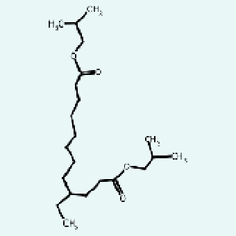 CCC(CCCCCCCC(=O)OCC(C)C)CCC(=O)OCC(C)C